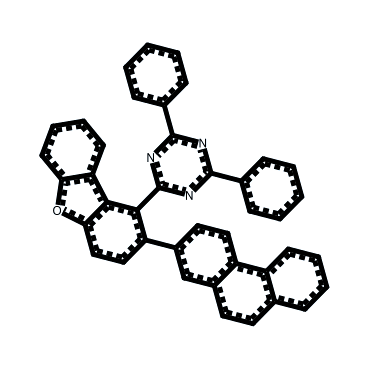 c1ccc(-c2nc(-c3ccccc3)nc(-c3c(-c4ccc5c(ccc6ccccc65)c4)ccc4oc5ccccc5c34)n2)cc1